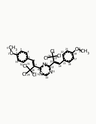 COc1ccc(C=C(c2ncnc(C(=Cc3ccc(OC)cc3)C(Cl)(Cl)Cl)n2)C(Cl)(Cl)Cl)cc1